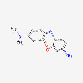 CN(C)c1ccc2nc3ccc(=N)cc-3oc2c1